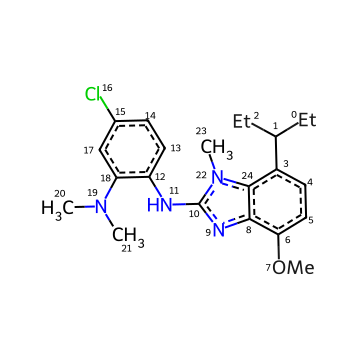 CCC(CC)c1ccc(OC)c2nc(Nc3ccc(Cl)cc3N(C)C)n(C)c12